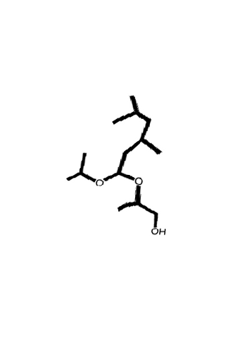 CC(C)CC(C)CC(OC(C)C)OC(C)CO